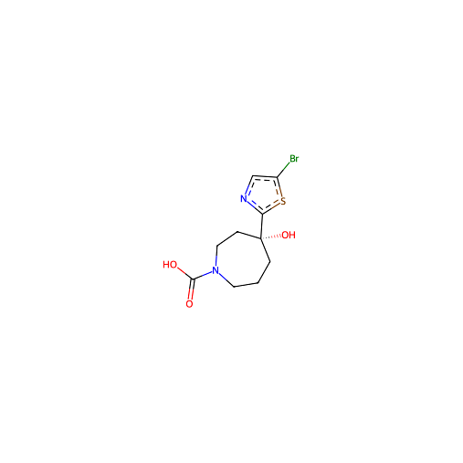 O=C(O)N1CCC[C@](O)(c2ncc(Br)s2)CC1